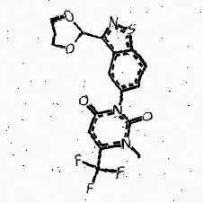 Cn1c(C(F)(F)F)cc(=O)n(-c2ccc3snc(C4OCCO4)c3c2)c1=O